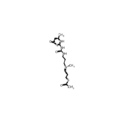 CC(=O)SCC/C=[N+](\C)CCCNC(=O)Nc1nc(=O)cc(C)[nH]1